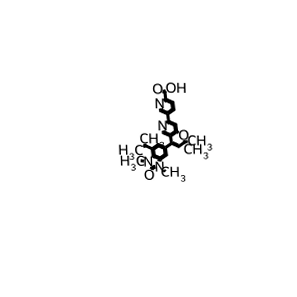 CC(C)c1cc(C2=CC(C)(C)Oc3cc(-c4ccc(C(=O)O)nc4)ncc32)cc2c1n(C)c(=O)n2C